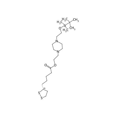 CC(C)(C)[Si](C)(C)OCCN1CCN(CCOC(=O)CCCC[C@@H]2CCSS2)CC1